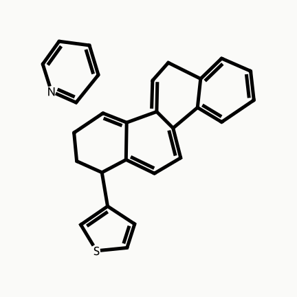 C1=c2c(ccc3c2=CCCC3c2ccsc2)-c2ccccc2C1.c1ccncc1